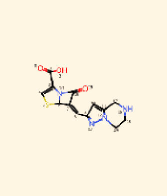 O=C(O)C1=CSC2C(=Cc3cc4n(n3)CCNC4)C(=O)N12